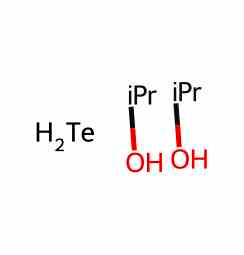 CC(C)O.CC(C)O.[TeH2]